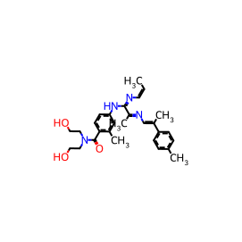 C\C=C/N=C(Nc1ccc(C(=O)N(CCO)CCO)c(C)c1)\C(C)=N\C=C(/C)c1ccc(C)cc1